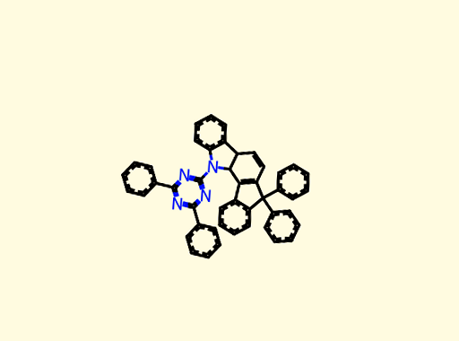 C1=CC2c3ccccc3N(c3nc(-c4ccccc4)nc(-c4ccccc4)n3)C2C2=C1C(c1ccccc1)(c1ccccc1)c1ccccc12